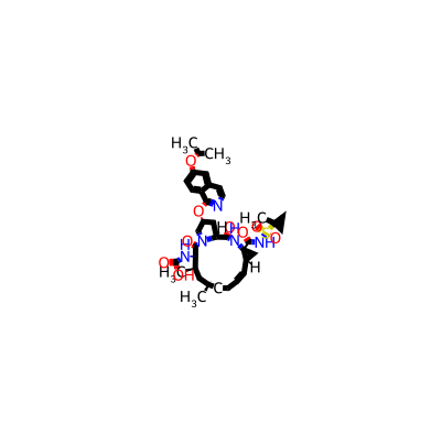 CC(C)Oc1ccc2c(O[C@@H]3C[C@H]4C(=O)N[C@]5(C(=O)NS(=O)(=O)C6(C)CC6)C[C@H]5C=CCC[C@@H](C)C[C@@H](C)[C@H](NC(=O)O)C(=O)N4C3)nccc2c1